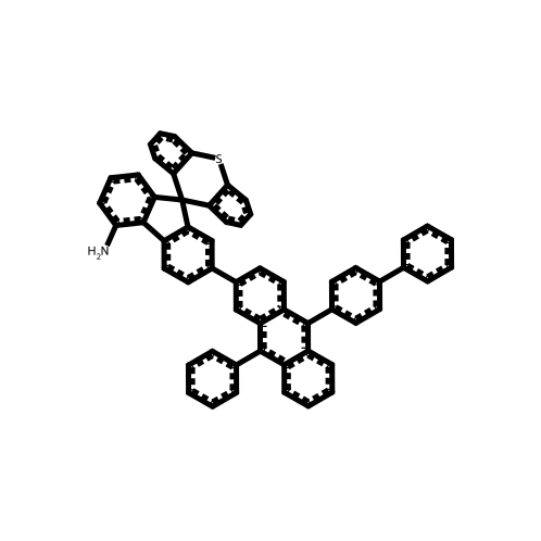 Nc1cccc2c1-c1ccc(-c3ccc4c(-c5ccc(-c6ccccc6)cc5)c5ccccc5c(-c5ccccc5)c4c3)cc1C21c2ccccc2Sc2ccccc21